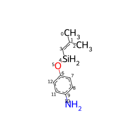 CC(C)=C[SiH2]Oc1ccc(N)cc1